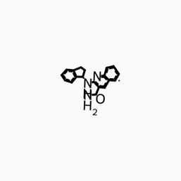 NC(=O)c1cc2[c]cccc2nc1N[C@@H]1CCc2ccccc21